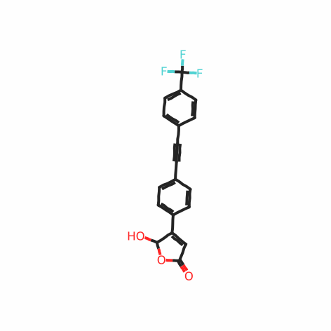 O=C1C=C(c2ccc(C#Cc3ccc(C(F)(F)F)cc3)cc2)C(O)O1